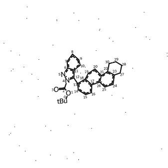 CC(C)(C)OC(=O)n1nc2ccccc2c1-c1cccc2c1ccc1c3c(ccc12)CCCC3